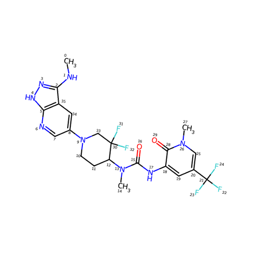 CNc1n[nH]c2ncc(N3CCC(N(C)C(=O)Nc4cc(C(F)(F)F)cn(C)c4=O)C(F)(F)C3)cc12